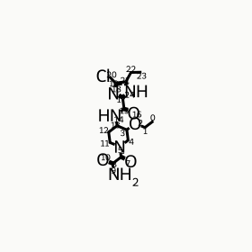 CCOC1CN(C(=O)C(N)=O)CCC1NC(=O)c1nc(Cl)c(CC)[nH]1